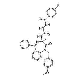 COc1ccc(CN2C(=O)C(C)(NC(=S)NNC(=O)c3ccc(F)cc3)N=C(c3ccccc3)c3ccccc32)cc1